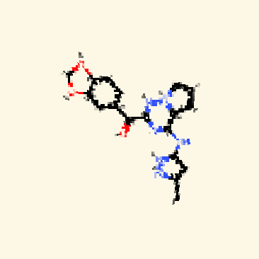 Cc1cc(Nc2nc(C(=O)c3ccc4c(c3)OCO4)nn3cccc23)n[nH]1